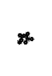 c1ccc(-c2nc(-c3ccccc3)nc(-n3c4ccccc4c4cc5c6ccccc6n(-c6ccc7cccnc7c6)c5cc43)n2)cc1